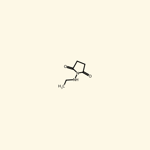 CCNN1C(=O)CCC1=O